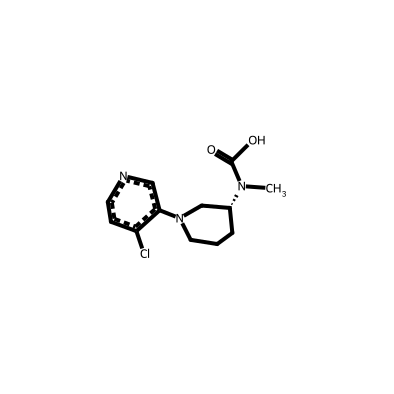 CN(C(=O)O)[C@@H]1CCCN(c2cnccc2Cl)C1